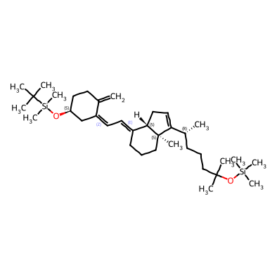 C=C1CC[C@H](O[Si](C)(C)C(C)(C)C)C/C1=C/C=C1\CCC[C@]2(C)C([C@H](C)CCCC(C)(C)O[Si](C)(C)C)=CC[C@@H]12